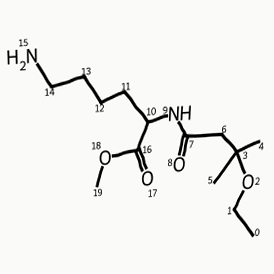 CCOC(C)(C)CC(=O)NC(CCCCN)C(=O)OC